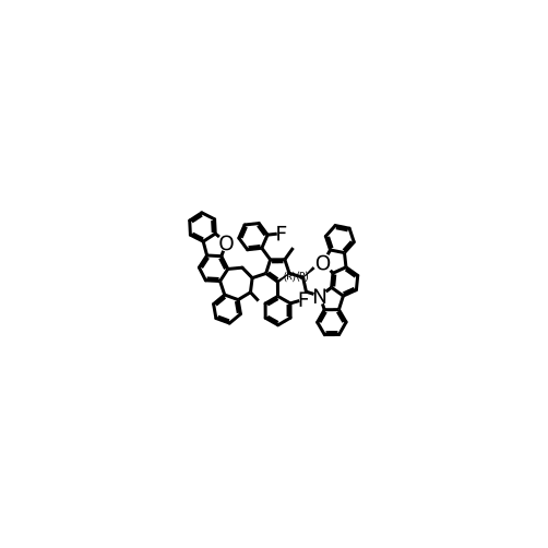 CC1=C(c2ccccc2F)C(C2Cc3c(ccc4c3oc3ccccc34)-c3ccccc3C2C)=C(c2ccccc2F)[C@@H]1[C@@H](C)Cn1c2ccccc2c2ccc3c4ccccc4oc3c21